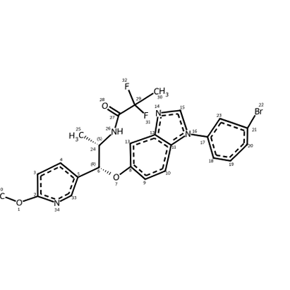 COc1ccc([C@@H](Oc2ccc3c(c2)ncn3-c2cccc(Br)c2)[C@H](C)NC(=O)C(C)(F)F)cn1